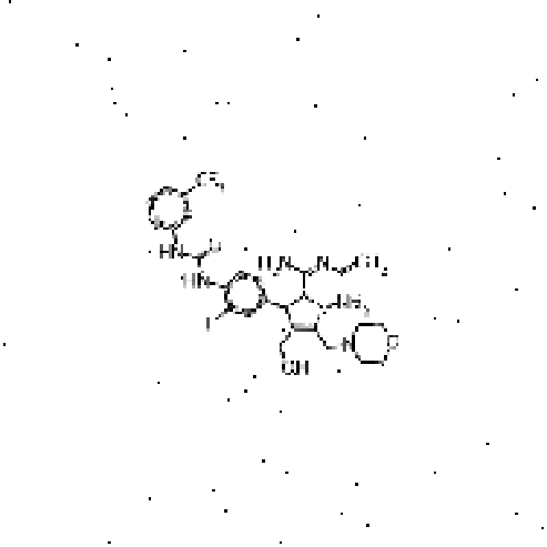 C=C/N=C(/N)C1C(c2ccc(NC(=O)Nc3cc(C(F)(F)F)ccn3)c(F)c2)C(CO)=C(CN2CCOCC2)N1N